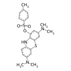 Cc1ccc(S(=O)(=O)Oc2cc(N(C)C)cc3c2Nc2ccc(N(C)C)cc2S3)cc1